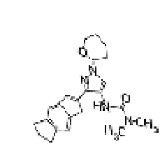 CN(C)C(=O)Nc1cn(C2CCCCO2)nc1C1=Cc2cc3c(cc2C1)CCC3